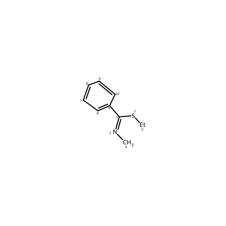 CCSC(=NC)c1cc[c]cc1